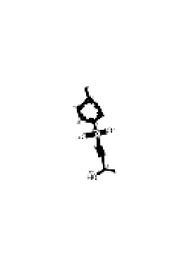 Cc1ccc(S(=O)(=O)C#CC(C)O)cc1